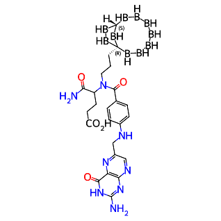 NC(=O)C(CCC(=O)O)N(CCC[C@]12BBBBBBB[C@@H](BB1)B2)C(=O)c1ccc(NCc2cnc3nc(N)[nH]c(=O)c3n2)cc1